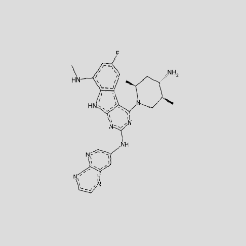 CNc1cc(F)cc2c1[nH]c1nc(Nc3cnc4nccnc4c3)nc(N3C[C@H](C)[C@@H](N)C[C@@H]3C)c12